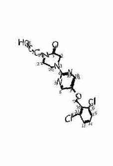 O=C1CN(c2ncc(OCc3c(Cl)cccc3Cl)cn2)CCN1CCO